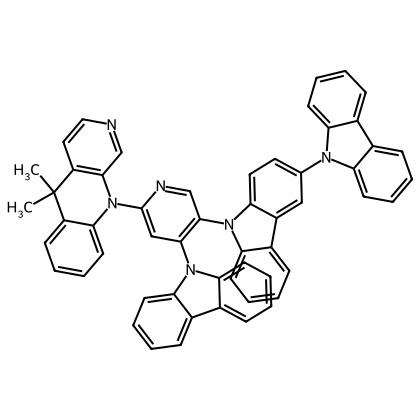 CC1(C)c2ccccc2N(c2cc(-n3c4ccccc4c4ccccc43)c(-n3c4ccccc4c4cc(-n5c6ccccc6c6ccccc65)ccc43)cn2)c2cnccc21